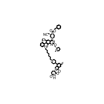 CN1CCC[C@H]1COc1nc(N2CCN(C(=O)OCc3ccccc3)[C@H](CC#N)C2)c2cc(Cl)c(-c3c(F)cccc3OCCCCCCCN3CCC(c4cc(F)cc5c4CN(C4CCC(=O)NC4=O)C5=O)CC3)c(F)c2n1